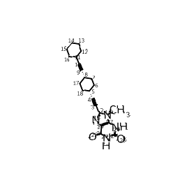 Cn1c(C#C[C@H]2CC[C@@H](C#CC3CCCCC3)CC2)nc2c(=O)[nH]c(=O)[nH]c21